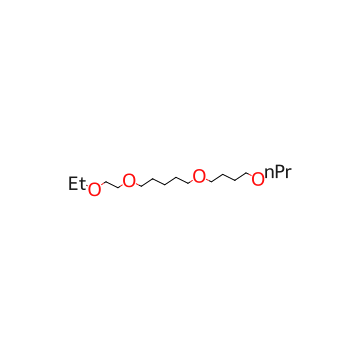 [CH2]CCOCCCCOCCCCCOCCOC[CH2]